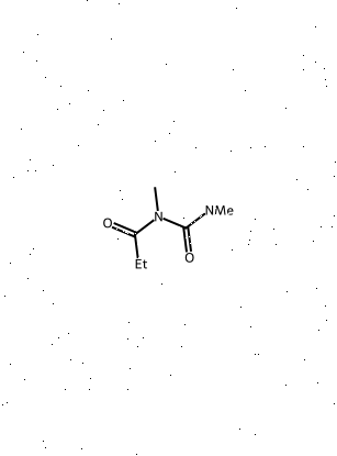 CCC(=O)N(C)C(=O)NC